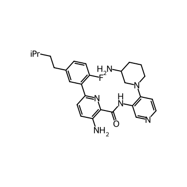 CC(C)CCc1ccc(F)c(-c2ccc(N)c(C(=O)Nc3cnccc3N3CCCC(N)C3)n2)c1